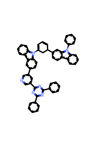 C1=CC(c2ccc3c4ccccc4n(-c4ccccc4)c3c2)CC(n2c3ccccc3c3cc(-c4cncc(-c5nc(-c6ccccc6)nc(-c6ccccc6)n5)c4)ccc32)=C1